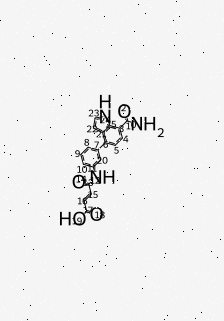 NC(=O)c1ccc(-c2cccc(NC(=O)C=CC(=O)O)c2)c2cc[nH]c12